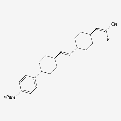 CCCCCc1ccc([C@H]2CC[C@H](C=C[C@H]3CC[C@H](C=C(F)C#N)CC3)CC2)cc1